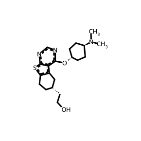 CN(C)[C@H]1CC[C@H](Oc2ncnc3sc4c(c23)C[C@H](CCO)CC4)CC1